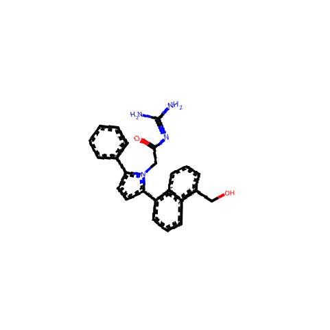 NC(N)=NC(=O)Cn1c(-c2ccccc2)ccc1-c1cccc2c(CO)cccc12